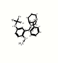 COc1ccc(OC(F)(F)F)cc1CN1CN2CCCC1C2c1ccccc1